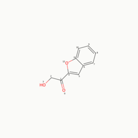 O=C(CO)c1cc2ccccc2o1